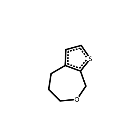 c1cc2c(s1)COCCC2